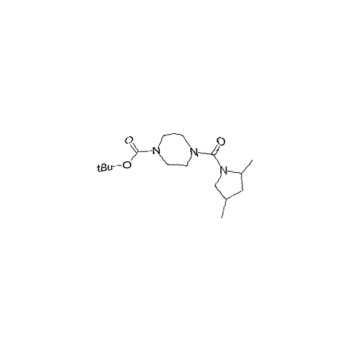 CC1CC(C)N(C(=O)N2CCN(C(=O)OC(C)(C)C)CC2)C1